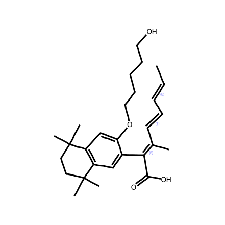 C/C=C/C=C/C(C)=C(/C(=O)O)c1cc2c(cc1OCCCCCO)C(C)(C)CCC2(C)C